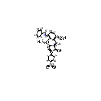 CCOC1=NN(c2ccc([N+](=O)[O-])cc2)C(=O)/C1=C/c1cc(/C=C/c2ccccc2)ccc1O